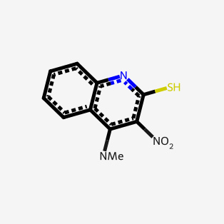 CNc1c([N+](=O)[O-])c(S)nc2ccccc12